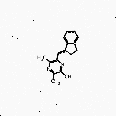 Cc1nc(C)c(/C=C2\CCc3ccccc32)nc1C